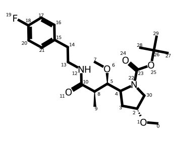 CO[C@@H]1CC([C@H](OC)[C@@H](C)C(=O)NCCc2ccc(F)cc2)N(C(=O)OC(C)(C)C)C1